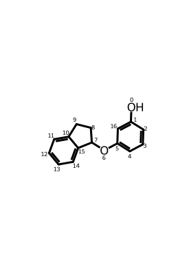 Oc1cccc(OC2CCc3ccccc32)c1